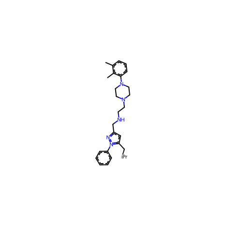 Cc1cccc(N2CCN(CCNCc3cc(CC(C)C)n(-c4ccccc4)n3)CC2)c1C